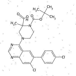 CC(C)(C)OC(=O)N1CCN(c2ncnc3cc(Cl)c(-c4ccc(Cl)cc4)cc23)CC1(C)C(=O)O